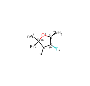 B[C@@H]1O[C@@](CC)(CCC)C(C)[C@@H]1F